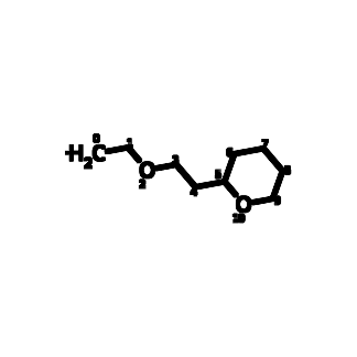 [CH2]COCCC1CCCCO1